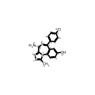 Cc1nnc2n1-c1ccc(O)cc1C(c1ccc(Cl)cc1)=N[C@H]2N